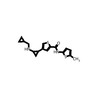 Cc1ccc(NC(=O)c2cc(C3CC3NCC3CC3)cs2)s1